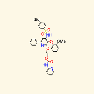 COc1ccccc1Oc1c(NS(=O)(=O)c2ccc(C(C)(C)C)cc2)cc(-c2ccccc2)nc1OCCOC(=O)Nc1ccccn1